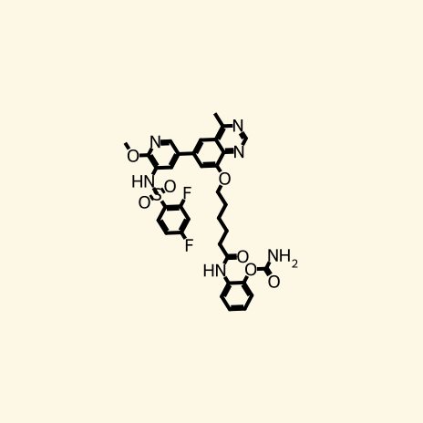 COc1ncc(-c2cc(OCCCCCC(=O)Nc3ccccc3OC(N)=O)c3ncnc(C)c3c2)cc1NS(=O)(=O)c1ccc(F)cc1F